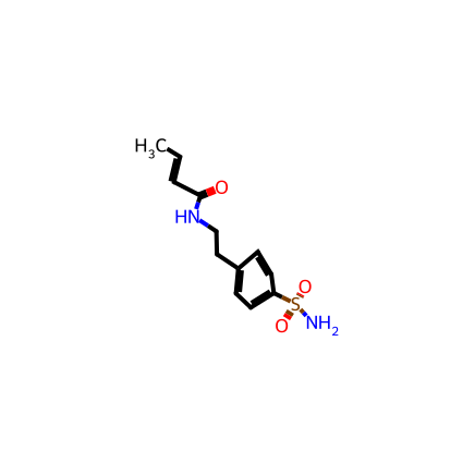 CC=CC(=O)NCCc1ccc(S(N)(=O)=O)cc1